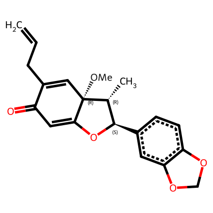 C=CCC1=C[C@]2(OC)C(=CC1=O)O[C@H](c1ccc3c(c1)OCO3)[C@H]2C